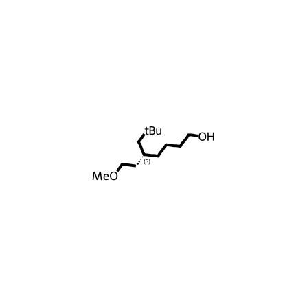 COCC[C@@H](CCCCO)CC(C)(C)C